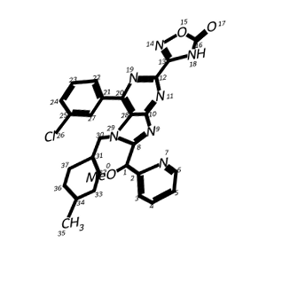 COC(c1ccccn1)c1nc2nc(-c3noc(=O)[nH]3)nc(-c3cccc(Cl)c3)c2n1CC1CCC(C)CC1